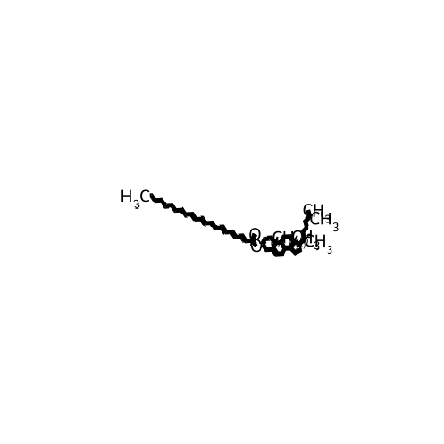 CCCCCCCCCC=CC=CC=CC=CC=CC=CC(=O)OC1CC[C@@]2(C)C(=CCC3C2CC[C@@]2(C)C3CC[C@@H]2[C@H](C)CCCC(C)C)C1